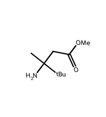 COC(=O)CC(C)(N)C(C)(C)C